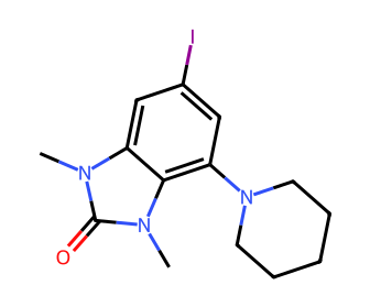 Cn1c(=O)n(C)c2c(N3CCCCC3)cc(I)cc21